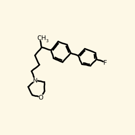 CC(CCCN1CCOCC1)c1ccc(-c2ccc(F)cc2)cc1